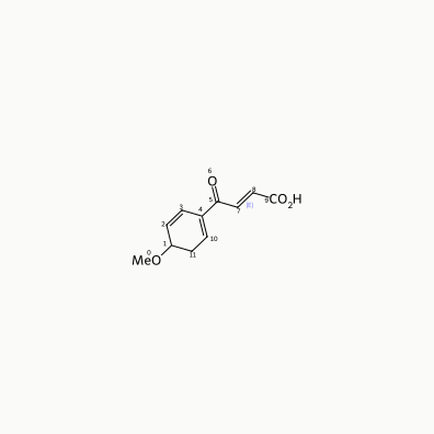 COC1C=CC(C(=O)/C=C/C(=O)O)=CC1